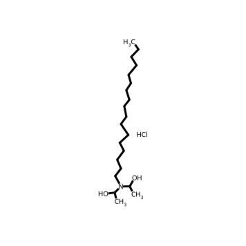 CCCCCCCCCCCCCCCCCN(C(C)O)C(C)O.Cl